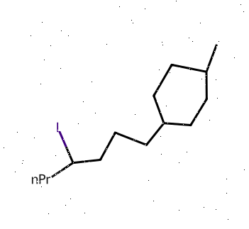 CCCC(I)CCCC1CCC(C)CC1